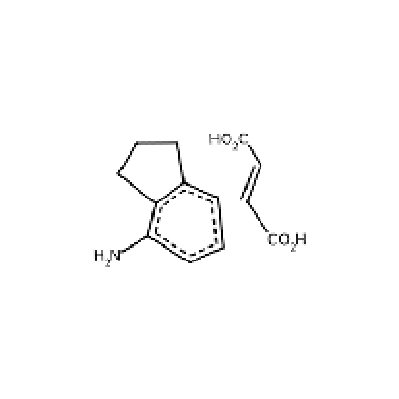 Nc1cccc2c1CCC2.O=C(O)/C=C/C(=O)O